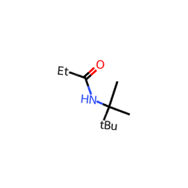 CCC(=O)NC(C)(C)C(C)(C)C